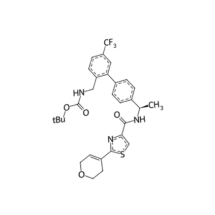 C[C@@H](NC(=O)c1csc(C2=CCOCC2)n1)c1ccc(-c2cc(C(F)(F)F)ccc2CNC(=O)OC(C)(C)C)cc1